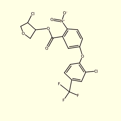 O=C(OC1COCC1Cl)c1cc(Oc2ccc(C(F)(F)F)cc2Cl)ccc1[N+](=O)[O-]